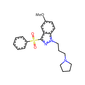 COc1ccc2c(c1)c(S(=O)(=O)c1ccccc1)nn2CCCN1CCCC1